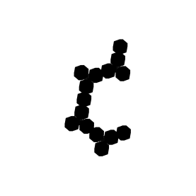 C1=CC(N(c2ccccc2)c2ccc(-c3ccc(-c4ccc(N(c5ccccc5)c5ccc(-c6ccc(N(c7ccccc7)c7ccc(-c8ccccc8)cc7)cc6)cc5)cc4)cc3)cc2)CC=C1c1ccc(N(c2ccccc2)c2ccc(-c3ccccc3)cc2)cc1